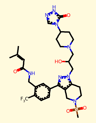 CC(C)=CC(=O)NCc1cc(-c2nn(CC(O)CN3CCC(n4cn[nH]c4=O)CC3)c3c2CN(S(C)(=O)=O)CC3)ccc1C(F)(F)F